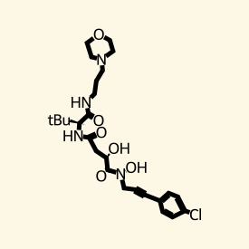 CC(C)(C)[C@H](NC(=O)C[C@H](O)C(=O)N(O)CC#Cc1ccc(Cl)cc1)C(=O)NCCCN1CCOCC1